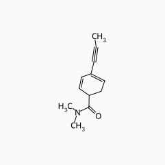 CC#CC1=CCC(C(=O)N(C)C)C=C1